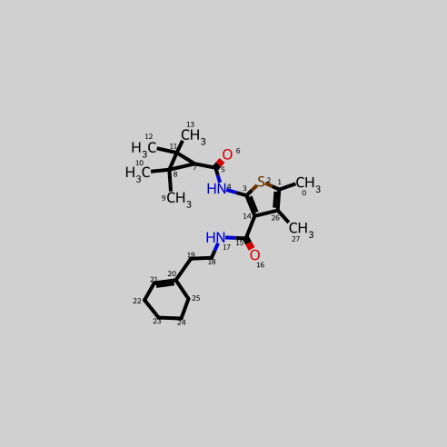 Cc1sc(NC(=O)C2C(C)(C)C2(C)C)c(C(=O)NCCC2=CCCCC2)c1C